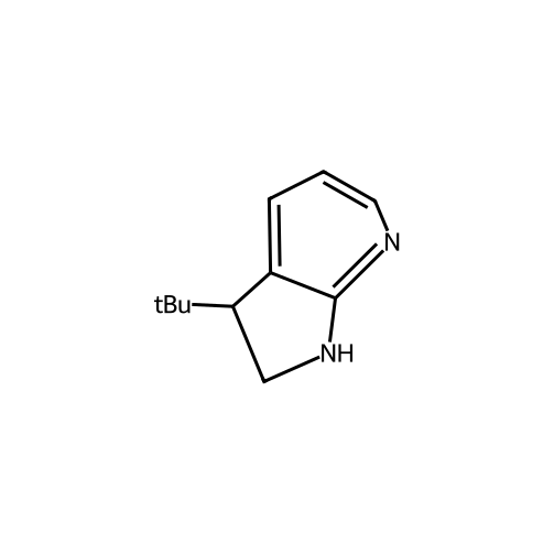 CC(C)(C)C1CNc2ncccc21